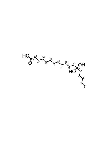 CCCCCC(O)(O)CCCCCCCCCCCC(=O)O